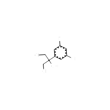 OC(CCl)(CCl)c1cc(F)cc(Cl)c1